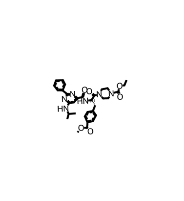 CCOC(=O)N1CCN(C(=O)[C@H](Cc2ccc(C(=O)OC)cc2)NC(=O)c2cc(NC(C)C)nc(-c3ccccc3)n2)CC1